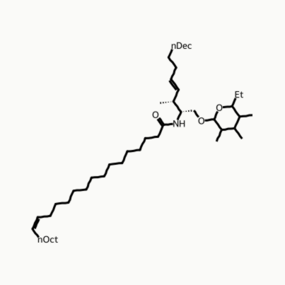 CCCCCCCC/C=C\CCCCCCCCCCCCCC(=O)N[C@@H](COC1OC(CC)C(C)C(C)C1C)[C@H](C)/C=C/CCCCCCCCCCCC